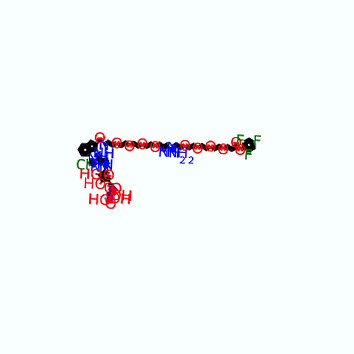 N/C(=C\N(N)CCOCCOCCOCCOCCC(=O)Oc1c(F)cc(F)cc1F)COCCOCCOCCOCCNC(=O)[C@H]1Cc2ccccc2[C@H]1Nc1nc(Cl)nc2c1cnn2[C@@H]1O[C@H](COP(=O)(O)CP(=O)(O)O)[C@@H](O)[C@H]1O